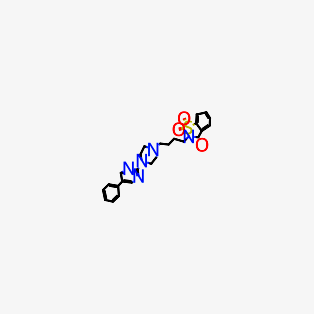 O=C1c2ccccc2S(=O)(=O)N1CCCCN1CCN(c2ncc(-c3ccccc3)cn2)CC1